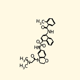 Cc1ccccc1C(=O)Nc1ccc(S(=O)(=O)Nc2ccc3c(c2)N(C(=O)CN(C)C)CCO3)c2ccccc12